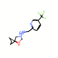 FC(F)(F)c1ccc(CNN2COC3(CC3)C2)nc1